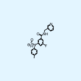 Cc1ccc(N(c2cc(F)cc(C(=O)NCc3cccnc3)c2)[SH](=O)=O)cc1